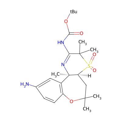 CC(C)(C)OC(=O)NC1=N[C@]2(C)c3cc(N)ccc3OC(C)(C)C[C@@H]2S(=O)(=O)C1(C)C